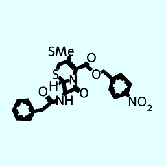 CSC1=C(C(=O)OCc2ccc([N+](=O)[O-])cc2)N2C(=O)C(NC(=O)Cc3ccccc3)[C@H]2SC1